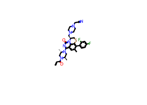 C=CC(=O)N1C[C@H](C)N(c2nc(=O)n3c4c(c(-c5ccc(F)cc5F)c(C)cc24)SC[C@@H]3CN2CCN(CC#N)CC2)C[C@H]1C